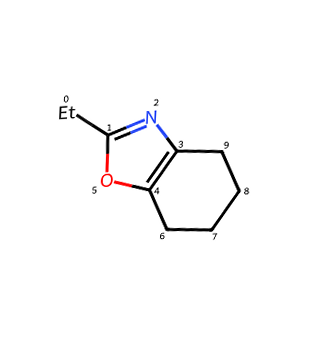 CCc1nc2c(o1)CCCC2